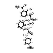 CCCc1c(C(N)=O)cccc1C(=O)N(CCC)C(Cc1ccccc1)P(=O)(O)CC(C)C(=O)Nc1ccc(C(C)(C)C)cc1